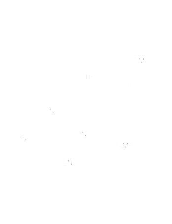 COc1ccc(OC)c(-c2cnc(C#N)c(C#N)n2)c1C=O